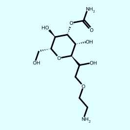 NCCOCC(O)[C@H]1O[C@H](CO)[C@@H](O)[C@H](OC(N)=O)[C@@H]1O